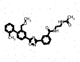 COCc1cc(-c2nc(-c3cccc(C(=O)NCCNC(C)=O)c3)no2)ccc1-c1ccccc1C